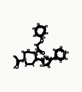 CC(=O)N1CCC(c2nc(-c3ccncc3)cs2)N(C(=O)COc2ccccc2)CC1